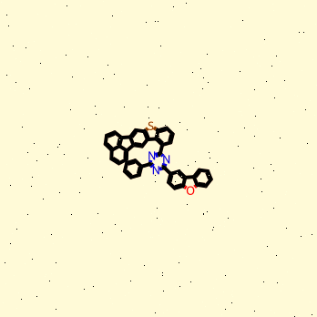 c1ccc(-c2nc(-c3ccc4oc5ccccc5c4c3)nc(-c3cccc4sc5cc6c(cc5c34)-c3cccc4cccc-6c34)n2)cc1